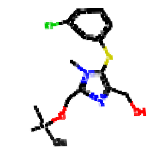 Cn1c(CO[Si](C)(C)C(C)(C)C)nc(CO)c1Sc1cccc(Cl)c1